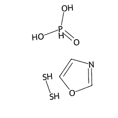 O=[PH](O)O.SS.c1cocn1